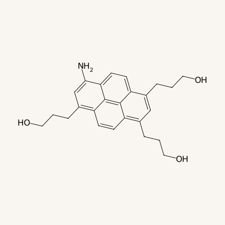 Nc1cc(CCCO)c2ccc3c(CCCO)cc(CCCO)c4ccc1c2c43